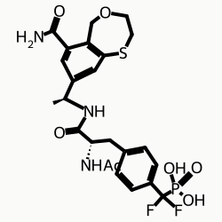 CC(=O)N[C@@H](Cc1ccc(C(F)(F)P(=O)(O)O)cc1)C(=O)N[C@@H](C)c1cc2c(c(C(N)=O)c1)COCCS2